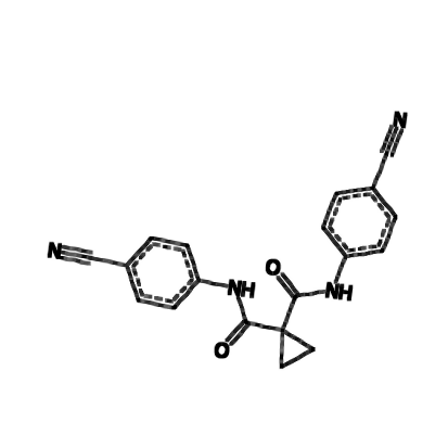 N#Cc1ccc(NC(=O)C2(C(=O)Nc3ccc(C#N)cc3)CC2)cc1